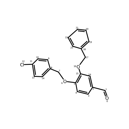 O=Cc1ccc(OCc2ccc(Cl)cc2)c(OCc2ccccc2)c1